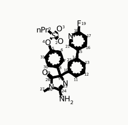 CCCS(=O)(=O)Oc1ccc(C2(c3cccc(-c4ccc(F)nc4)c3)N=C(N)N(C)C2=O)cc1